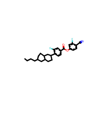 CCCCC1CCC2CC(c3ccc(C(=O)Oc4ccc(C#N)c(F)c4)cc3F)CCC2C1